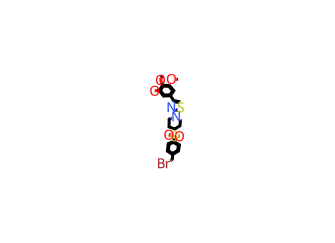 COc1cc(-c2csc(N3CCC(S(=O)(=O)c4ccc(CBr)cc4)CC3)n2)cc(OC)c1OC